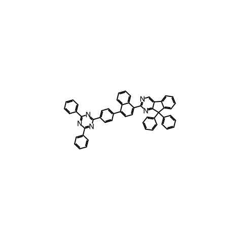 c1ccc(-c2nc(-c3ccccc3)nc(-c3ccc(-c4ccc(-c5ncc6c(n5)C(c5ccccc5)(c5ccccc5)c5ccccc5-6)c5ccccc45)cc3)n2)cc1